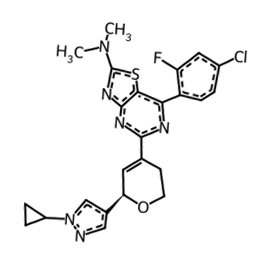 CN(C)c1nc2nc(C3=C[C@H](c4cnn(C5CC5)c4)OCC3)nc(-c3ccc(Cl)cc3F)c2s1